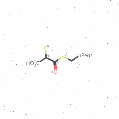 CCCCCCSC(=O)C(F)C(=O)O